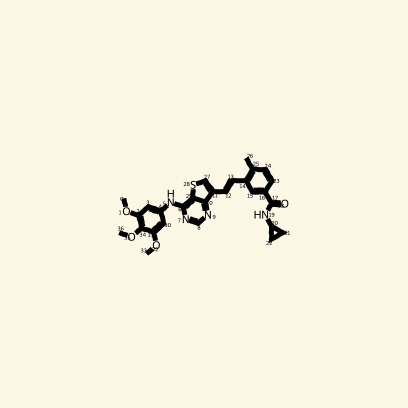 COc1cc(Nc2ncnc3c(C=Cc4cc(C(=O)NC5CC5)ccc4C)csc23)cc(OC)c1OC